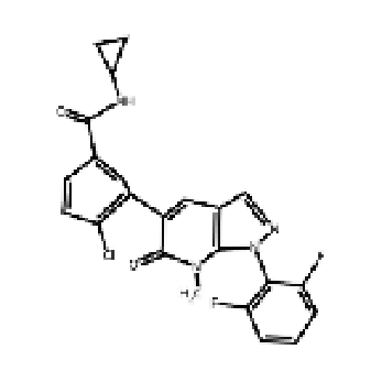 Cn1c(=O)c(-c2cc(C(=O)NC3CC3)ccc2Cl)cc2cnn(-c3c(F)cccc3F)c21